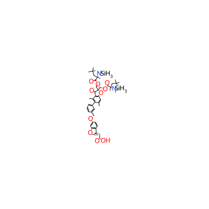 Cc1cc2c(c(C)c1-c1cccc(COc3ccc4c(c3)OC[C@H]4CC(=O)O)c1)C(=O)C(COC(=O)C(C)(CC(C)(C)C)N(C)[SiH3])(COC(=O)C(C)(CC(C)(C)C)N(C)[SiH3])O2